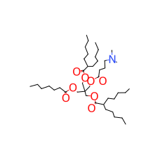 CCCCCCC(=O)OCC(COC(=O)CCCN(C)C)(COC(=O)C(CCCCC)CCCCC)COC(=O)C(CCCCC)CCCCC